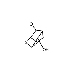 OC1C2CC3C1SC3C2O